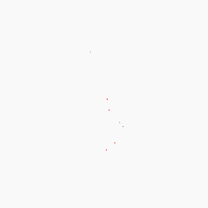 c1ccc(-c2ccccc2N(c2ccc(-c3cccc(-c4oc5ccccc5c4-c4ccccc4)c3)cc2)c2ccccc2-c2ccccc2)cc1